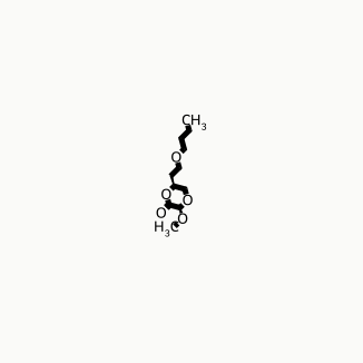 CCCCOCC[C@H]1CO[C@@H](OC)C(=O)O1